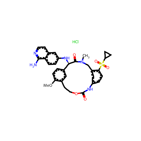 COc1ccc2cc1CCOC(=O)Nc1ccc(S(=O)(=O)C3CC3)c(c1)CN(C)C(=O)[C@@H]2Nc1ccc2c(N)nccc2c1.Cl